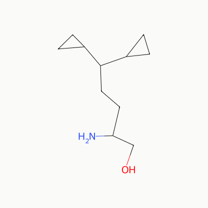 NC(CO)CCC(C1CC1)C1CC1